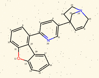 C1=CC2(c3ccc(-c4cccc5oc6ccccc6c45)nc3)CCN(C1)C2